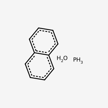 O.P.c1ccc2ccccc2c1